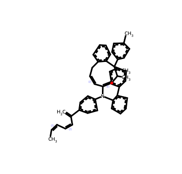 C=C(/C=C\C=C/C)c1ccc(N(C2=C/C(C)C(C)(c3ccc(C)cc3)c3ccccc3C/C=C\2)c2ccccc2-c2ccccc2)cc1